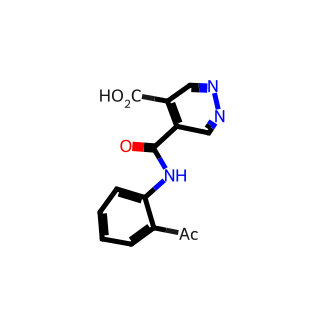 CC(=O)c1ccccc1NC(=O)c1cnncc1C(=O)O